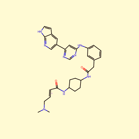 CN(C)C/C=C/C(=O)NC1CCC(NC(=O)Cc2cccc(Nc3cc(-c4cnc5[nH]ccc5c4)ncn3)c2)CC1